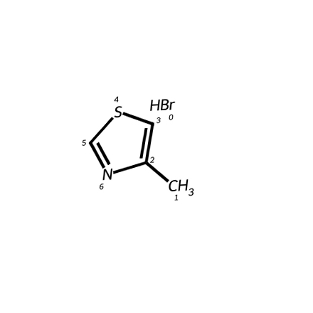 Br.Cc1cscn1